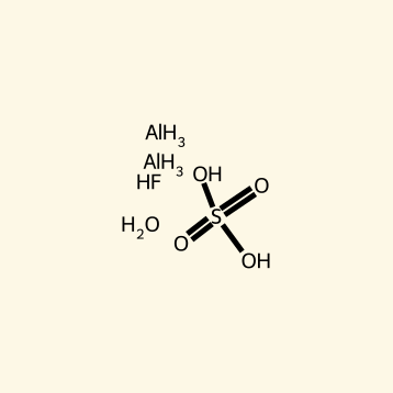 F.O.O=S(=O)(O)O.[AlH3].[AlH3]